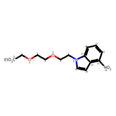 CCOC(=O)COCCOCCn1ccc2c([N+](=O)[O-])cccc21